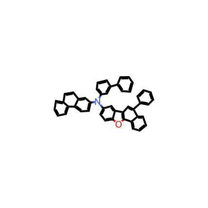 c1ccc(-c2cccc(N(c3ccc4c(ccc5ccccc54)c3)c3ccc4oc5c6ccccc6c(-c6ccccc6)cc5c4c3)c2)cc1